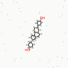 Oc1ccc(-c2ccc3c(ccc4cc(-c5ccc(O)cc5)ccc43)c2)cc1